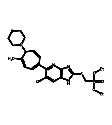 CCOP(=O)(CSc1nc2nc(C3=CC=C(C)C(N4CCOCC4)C=C3)c(Cl)cc2[nH]1)OCC